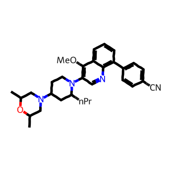 CCCC1CC(N2CC(C)OC(C)C2)CCN1c1cnc2c(-c3ccc(C#N)cc3)cccc2c1OC